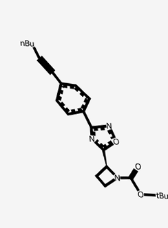 CCCCC#Cc1ccc(-c2noc([C@@H]3CCN3C(=O)OC(C)(C)C)n2)cc1